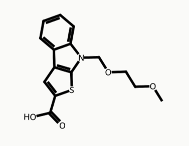 COCCOCn1c2ccccc2c2cc(C(=O)O)sc21